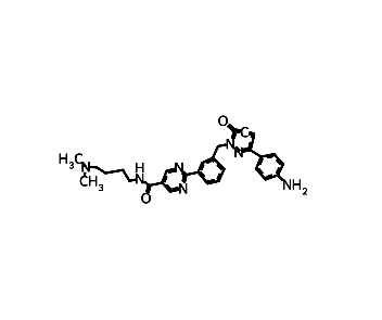 CN(C)CCCCNC(=O)c1cnc(-c2cccc(Cn3nc(-c4ccc(N)cc4)ccc3=O)c2)nc1